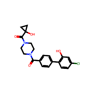 O=C(c1ccc(-c2ccc(Cl)cc2O)cc1)N1CCN(C(=O)C2(O)CC2)CC1